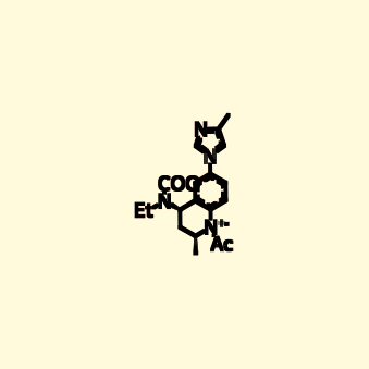 CCN(C(=O)[O-])[C@@H]1C[C@H](C)[N+](C)(C(C)=O)c2ccc(-n3cnc(C)c3)cc21